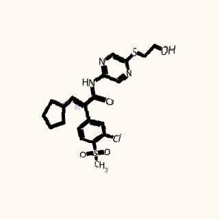 CS(=O)(=O)c1ccc(/C(=C\C2CCCC2)C(=O)Nc2cnc(SCCO)cn2)cc1Cl